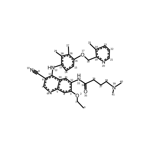 CCOc1cc2ncc(C#N)c(Nc3ccc(OCc4ncccc4C)c(C)c3C)c2cc1NC(=O)CCCN(C)C